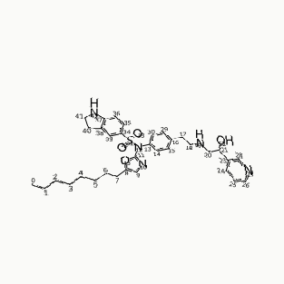 CCCCCCCCc1cnc(N(c2ccc(CCNCC(O)c3cccnc3)cc2)S(=O)(=O)c2ccc3c(c2)CCN3)o1